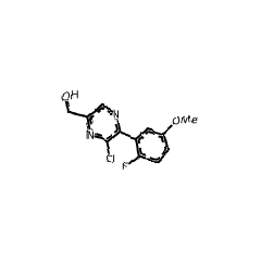 COc1ccc(F)c(-c2ncc(CO)nc2Cl)c1